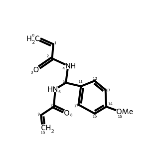 C=CC(=O)NC(NC(=O)C=C)c1ccc(OC)cc1